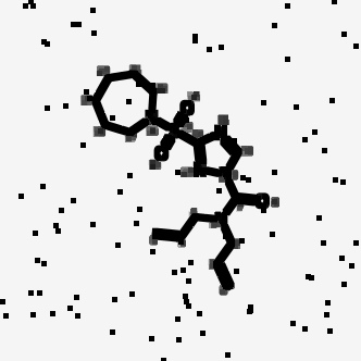 C=CCN(CC=C)C(=O)n1cnc(S(=O)(=O)N2CCCCCC2)n1